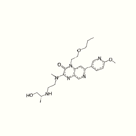 CCCOCCn1c(=O)c(N(C)CCN[C@@H](C)CO)nc2cnc(-c3ccc(OC)nc3)cc21